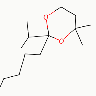 CCCCCC1(C(C)C)OCCC(C)(C)O1